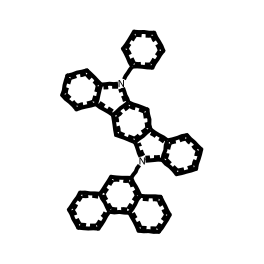 c1ccc(-n2c3ccccc3c3cc4c(cc32)c2ccccc2n4-c2cc3ccccc3c3ccccc23)cc1